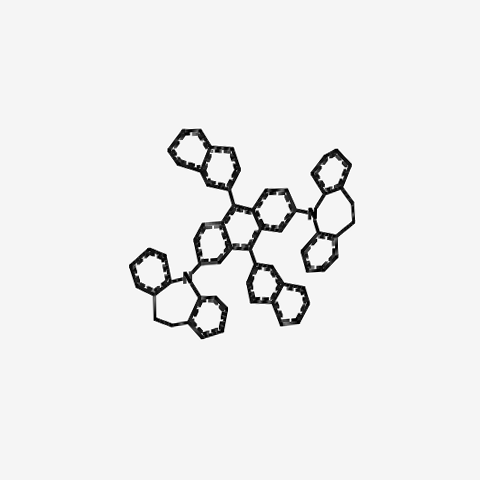 c1ccc2c(c1)CCc1ccccc1N2c1ccc2c(-c3ccc4ccccc4c3)c3ccc(N4c5ccccc5CCc5ccccc54)cc3c(-c3ccc4ccccc4c3)c2c1